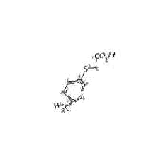 Cc1ccc(SCC(=O)O)cc1